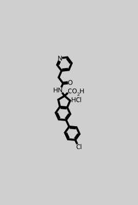 Cl.O=C(Cc1cccnc1)NC1(C(=O)O)Cc2ccc(-c3ccc(Cl)cc3)cc2C1